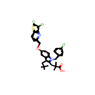 CC(C)(C)Cc1c(CC(C)(C)C(=O)O)n(Cc2ccc(Cl)cc2)c2ccc(OCc3ccc4sc(Cl)c(Cl)c4n3)cc12